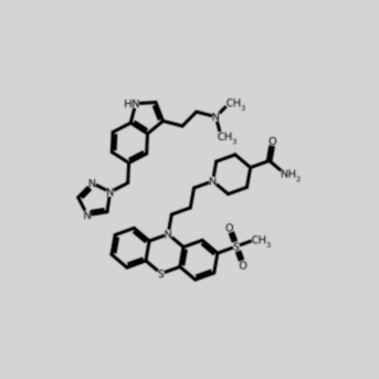 CN(C)CCc1c[nH]c2ccc(Cn3cncn3)cc12.CS(=O)(=O)c1ccc2c(c1)N(CCCN1CCC(C(N)=O)CC1)c1ccccc1S2